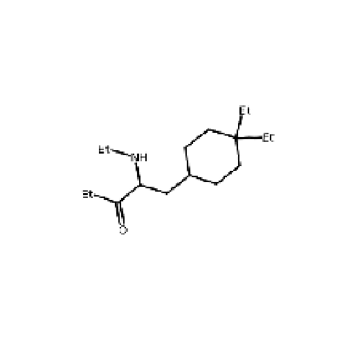 CCNC(CC1CCC(CC)(CC)CC1)C(=O)CC